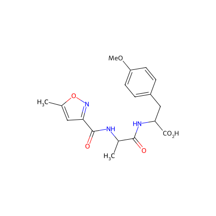 COc1ccc(CC(NC(=O)C(C)NC(=O)c2cc(C)on2)C(=O)O)cc1